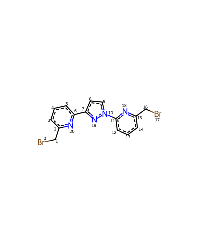 BrCc1cccc(-c2ccn(-c3cccc(CBr)n3)n2)n1